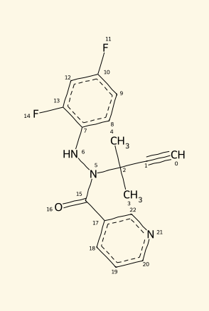 C#CC(C)(C)N(Nc1ccc(F)cc1F)C(=O)c1cccnc1